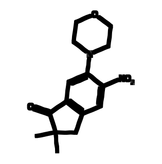 CC1(C)Cc2cc([N+](=O)[O-])c(N3CCOCC3)cc2C1=O